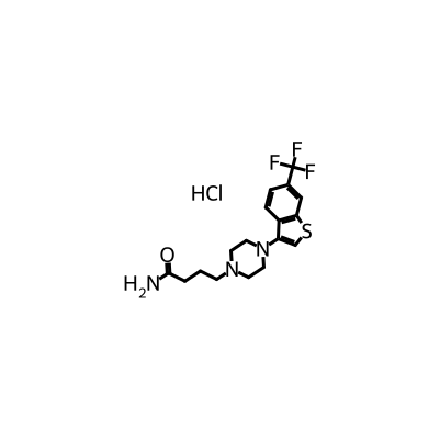 Cl.NC(=O)CCCN1CCN(c2csc3cc(C(F)(F)F)ccc23)CC1